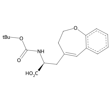 CC(C)(C)OC(=O)N[C@@H](CC1=Cc2ccccc2OCC1)C(=O)O